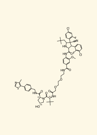 COc1cc(C(=O)NCCOCCOCC(=O)N[C@H](C(=O)N2C[C@H](O)C[C@H]2C(=O)NCc2ccc(-c3scnc3C)cc2)C(C)(C)C)ccc1NC(=O)C1NC(CC(C)(C)C)C(C#N)(c2ccc(Cl)cc2F)C1c1cccc(Cl)c1F